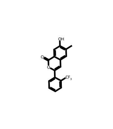 Cc1cc2cc(-c3ccccc3C(F)(F)F)oc(=O)c2cc1O